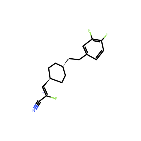 N#C/C(F)=C/[C@H]1CC[C@H](CCc2ccc(F)c(F)c2)CC1